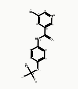 O=C(Nc1ccc(OC(F)(F)Cl)cc1)c1cncc(Br)c1